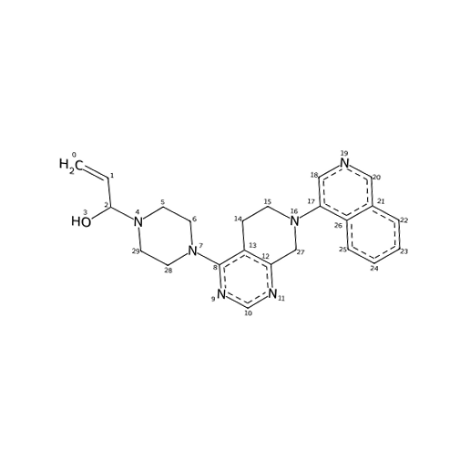 C=CC(O)N1CCN(c2ncnc3c2CCN(c2cncc4ccccc24)C3)CC1